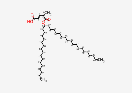 C=C(C=CC(=O)O)C(=O)OC(CCCCCCCCCCCCCCCC)CCCCCCCCCCCCCCCCCCC